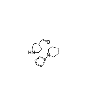 O=CC1CCNCC1.c1ccc(N2CCCCC2)cc1